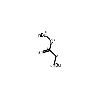 [CH2]CC[CH]OC(=O)CCCCC